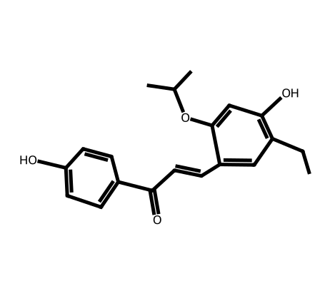 CCc1cc(C=CC(=O)c2ccc(O)cc2)c(OC(C)C)cc1O